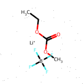 CCOC(=O)OC.F[B-](F)(F)F.[Li+]